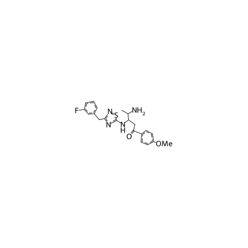 COc1ccc(C(=O)CC(Nc2nc(Cc3cccc(F)c3)ns2)C(C)N)cc1